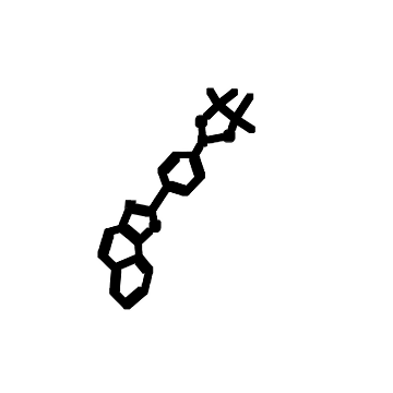 CC1(C)OB(c2ccc(-c3nc4ccc5ccccc5c4o3)cc2)OC1(C)C